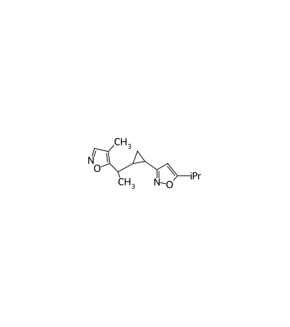 Cc1cnoc1C(C)C1CC1c1cc(C(C)C)on1